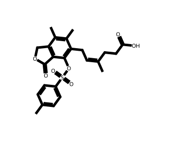 CC(=CCc1c(C)c(C)c2c(c1OS(=O)(=O)c1ccc(C)cc1)C(=O)OC2)CCC(=O)O